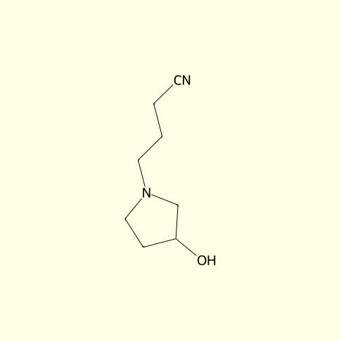 N#CCCCN1CCC(O)C1